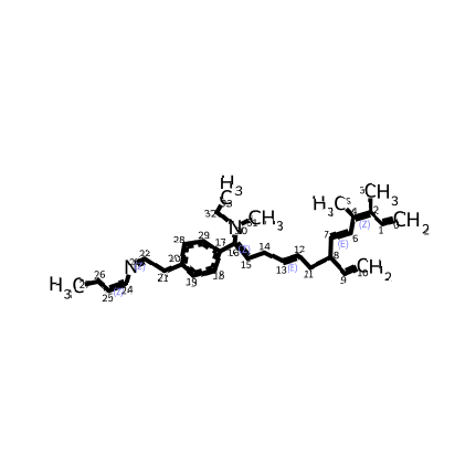 C=C/C(C)=C(C)\C=C\C(C=C)C/C=C/C/C=C(/c1ccc(C/C=N\C=C/CC)cc1)N(C)CC